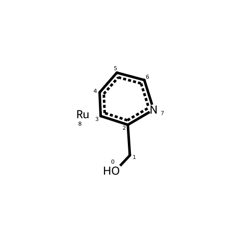 OCc1ccccn1.[Ru]